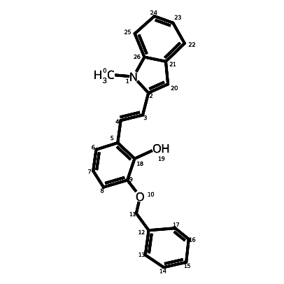 Cn1c(C=Cc2cccc(OCc3ccccc3)c2O)cc2ccccc21